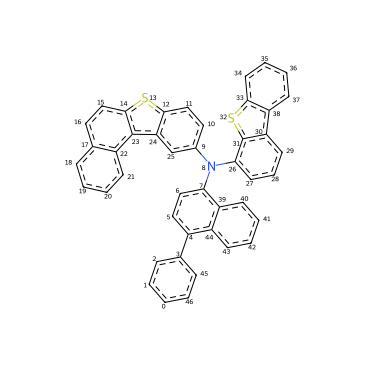 c1ccc(-c2ccc(N(c3ccc4sc5ccc6ccccc6c5c4c3)c3cccc4c3sc3ccccc34)c3ccccc23)cc1